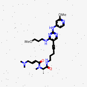 COCCCNc1nc(Nc2ccnc(OC)c2)ncc1C#CCCCNC(=O)[C@H](C)N(C)C(=O)/C=C/CN(C)C